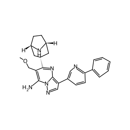 COCc1c([C@H]2C[C@H]3CC[C@@H](C2)N3)nc2c(-c3ccc(-c4ccccc4)nc3)cnn2c1N